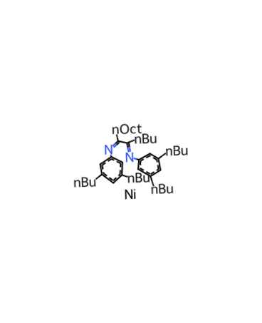 CCCCCCCCC(=Nc1cc(CCCC)cc(CCCC)c1)C(CCCC)=Nc1cc(CCCC)cc(CCCC)c1.[Ni]